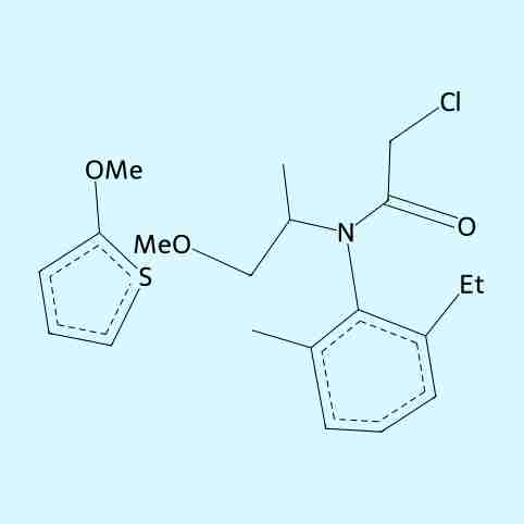 CCc1cccc(C)c1N(C(=O)CCl)C(C)COC.COc1cccs1